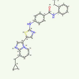 CCc1ccccc1NC(=O)c1ccc(Nc2ncc(-c3cnc4c(CC5CC5)cccn34)s2)cc1